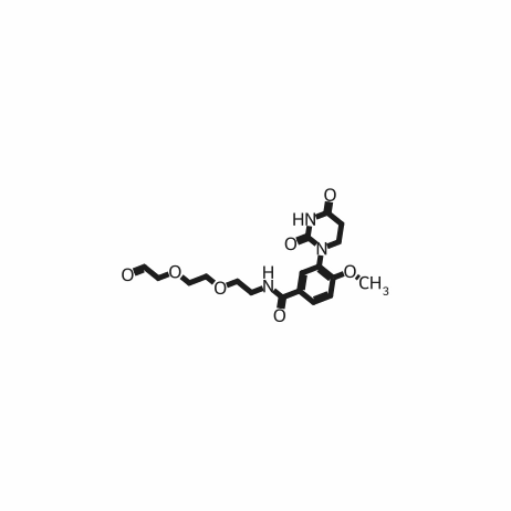 COc1ccc(C(=O)NCCOCCOCC=O)cc1N1CCC(=O)NC1=O